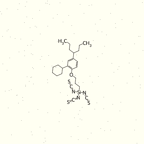 CCCC(CCC)c1ccc(OCCC[Si](N=C=S)(N=C=S)N=C=S)c(C2CCCCC2)c1